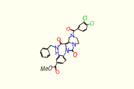 COC(=O)c1ccc(-n2c(C(=O)NCc3ccccc3)c3n(c2=O)CCN(C(=O)c2ccc(Cl)c(Cl)c2)C3)cc1